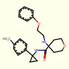 O=C(O)c1ccc(C2(NC(=O)C3(NCCOc4ccccc4)CCOCC3)CC2)cc1